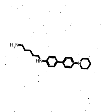 NCCCCCNc1ccc(-c2ccc(N3CCCCC3)cc2)cc1